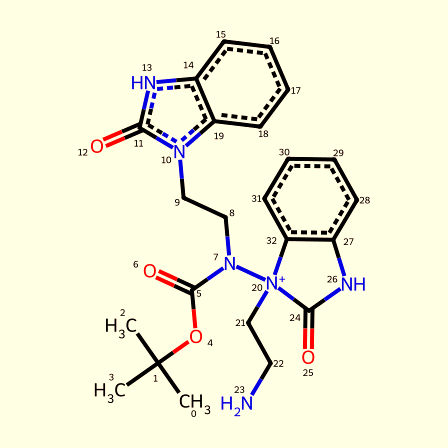 CC(C)(C)OC(=O)N(CCn1c(=O)[nH]c2ccccc21)[N+]1(CCN)C(=O)Nc2ccccc21